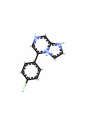 Fc1ccc(-c2cn[c]c3nccn23)cc1